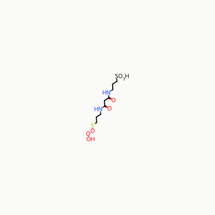 O=C(CC(=O)NCCCS(=O)(=O)O)NCCCSOOO